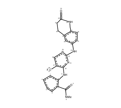 CNC(=O)c1ccccc1Nc1nc(Nc2ccc3c(c2)CCC(=O)N3)ncc1C(F)(F)F